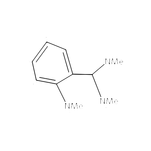 CNc1ccccc1C(NC)NC